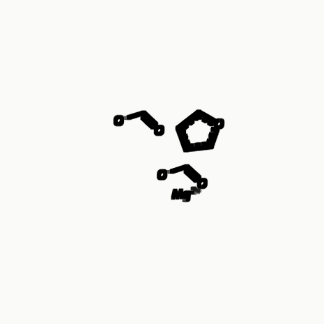 O=C[O-].O=C[O-].[Mg+2].c1ccoc1